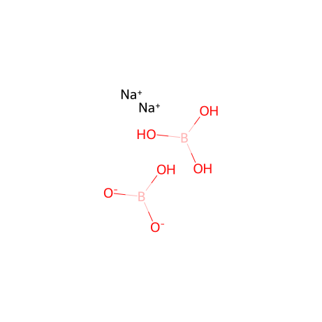 OB(O)O.[Na+].[Na+].[O-]B([O-])O